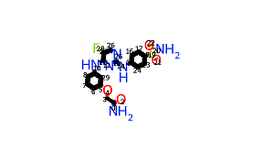 NC(=O)COc1cccc(Nc2nc(Nc3ccc(S(N)(=O)=O)cc3)ncc2F)c1